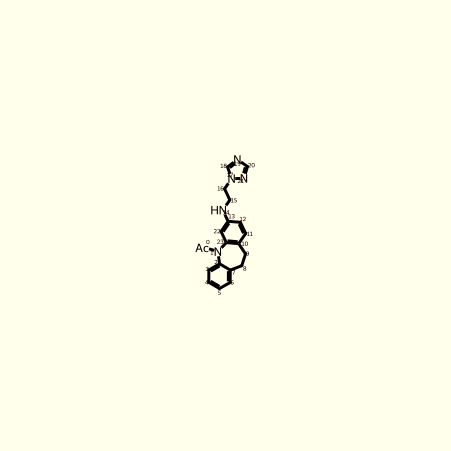 CC(=O)N1c2ccccc2CCc2ccc(NCCn3cncn3)cc21